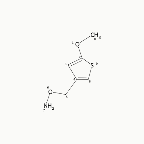 COc1cc(CON)cs1